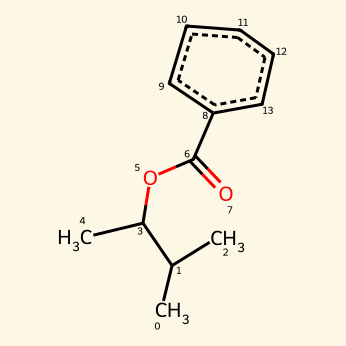 CC(C)C(C)OC(=O)c1ccccc1